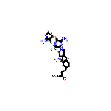 CNC(=O)CCc1ccc2c(c1)[C@@H](N)C1(CCN(c3nc(N)c(Sc4ccnc(N)c4Cl)nc3Br)CC1)C2